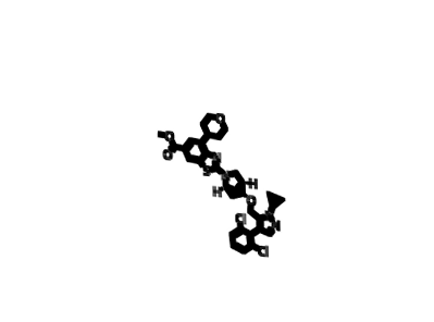 COC(=O)c1cc(C2CCOCC2)c2nc(N3C[C@@H]4C[C@H]3C[C@H]4OCc3c(-c4c(Cl)cccc4Cl)cnn3C3CC3)sc2c1